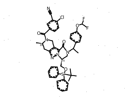 CC(c1ccc(OC(F)F)cc1)N1C[C@@H](CO[Si](c2ccccc2)(c2ccccc2)C(C)(C)C)n2nc3c(c2C1=O)CN(C(=O)c1ccc(Cl)c(C#N)c1)[C@H](C)C3